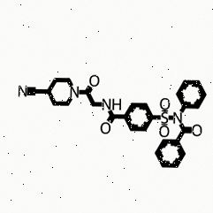 N#CC1CCN(C(=O)CNC(=O)c2ccc(S(=O)(=O)N(C(=O)c3ccccc3)c3ccccc3)cc2)CC1